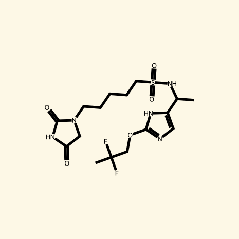 CC(NS(=O)(=O)CCCCCN1CC(=O)NC1=O)c1cnc(OCC(C)(F)F)[nH]1